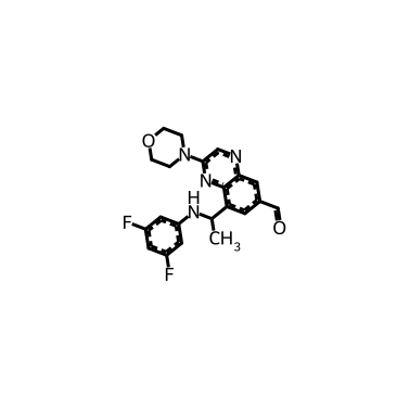 CC(Nc1cc(F)cc(F)c1)c1cc(C=O)cc2ncc(N3CCOCC3)nc12